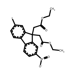 CCOC(=O)CC1(CC(=O)OCC)c2cc(I)ccc2-c2ccc([N+](=O)[O-])cc21